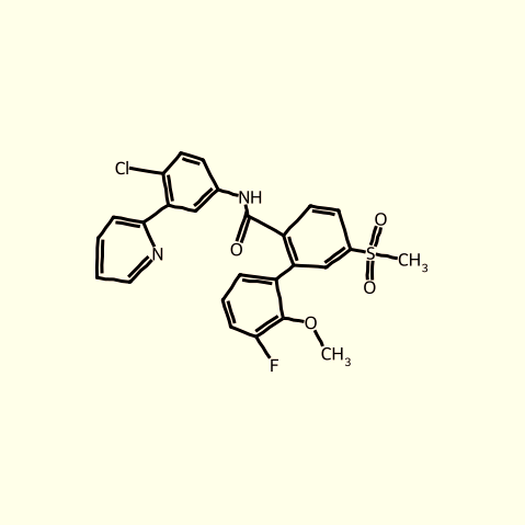 COc1c(F)cccc1-c1cc(S(C)(=O)=O)ccc1C(=O)Nc1ccc(Cl)c(-c2ccccn2)c1